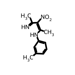 CC(=N)/C(=C(/C)Nc1cccc(C)c1)[N+](=O)[O-]